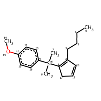 CCCCC1=C([Si](C)(C)c2ccc(OC)cc2)CC=C1